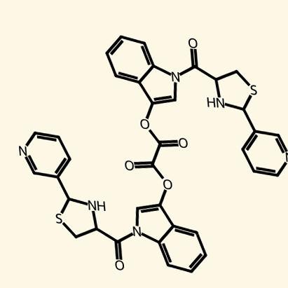 O=C(Oc1cn(C(=O)C2CSC(c3cccnc3)N2)c2ccccc12)C(=O)Oc1cn(C(=O)C2CSC(c3cccnc3)N2)c2ccccc12